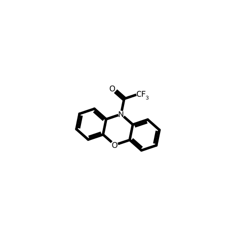 O=C(N1c2ccccc2Oc2ccccc21)C(F)(F)F